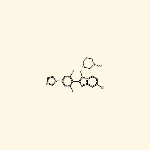 CC(=O)N1CCO[C@@H](Cc2c(-c3c(F)cc(-n4ccnc4)cc3F)nc3cc(Cl)ccn23)C1